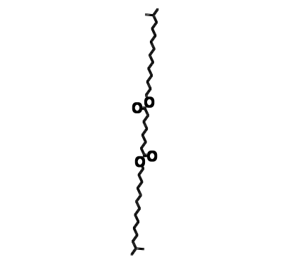 CC(C)CCCCCCCCCCCCOC(=O)CCCCCCC(=O)OCCCCCCCCCCCCC(C)C